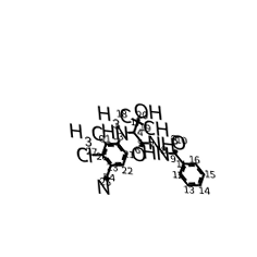 Cc1c(NC(C(=O)NNC(=O)c2ccccc2)C(C)(C)O)ccc(C#N)c1Cl